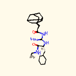 CC(C)CNC(=O)[C@@H](CC1CCCCC1)NC(=N)NC(=O)CC12CC3CC(CC(C3)C1)C2